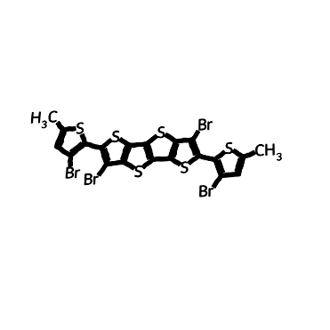 Cc1cc(Br)c(-c2sc3c(sc4c5sc(-c6sc(C)cc6Br)c(Br)c5sc34)c2Br)s1